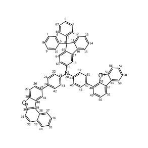 c1ccc(C2(c3ccccc3)c3ccccc3-c3cc(N(c4ccc(-c5ccc6oc7ccc8ccccc8c7c6c5)cc4)c4ccc(-c5cccc6c5oc5ccccc56)cc4)ccc32)cc1